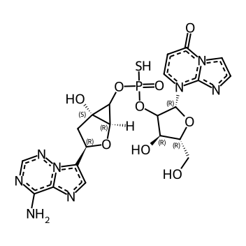 Nc1ncnn2c([C@H]3C[C@@]4(O)C(OP(=O)(S)OC5[C@H](n6ccc(=O)n7ccnc67)O[C@H](CO)[C@H]5O)[C@H]4O3)cnc12